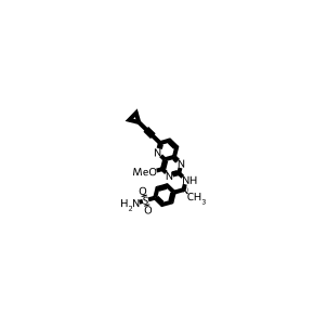 COc1nc(N[C@H](C)c2ccc(S(N)(=O)=O)cc2)nc2ccc(C#CC3CC3)nc12